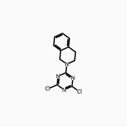 Clc1nc(Cl)nc(N2CCc3ccccc3C2)n1